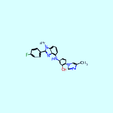 Cc1cn(-c2ccc(Nc3cccc4c3nc(-c3ccc(F)cc3)n4C(C)C)cc2O)cn1